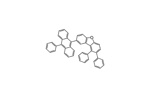 c1ccc(-c2ccc3oc4ccc(-c5c6ccccc6c(-c6ccccc6)c6ccccc56)cc4c3c2-c2ccccc2)cc1